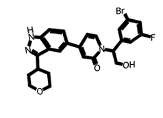 O=c1cc(-c2ccc3[nH]nc(C4CCOCC4)c3c2)ccn1C(CO)c1cc(F)cc(Br)c1